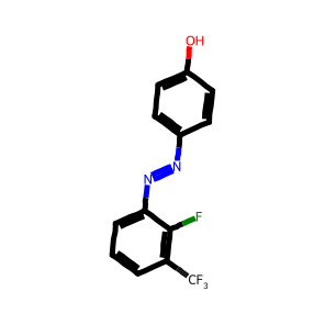 Oc1ccc(/N=N/c2cccc(C(F)(F)F)c2F)cc1